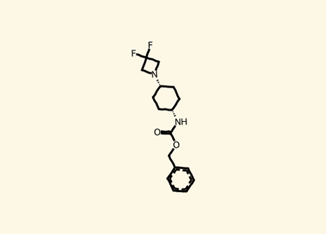 O=C(N[C@H]1CC[C@@H](N2CC(F)(F)C2)CC1)OCc1ccccc1